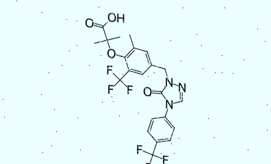 Cc1cc(Cn2ncn(-c3ccc(C(F)(F)F)cc3)c2=O)cc(C(F)(F)F)c1OC(C)(C)C(=O)O